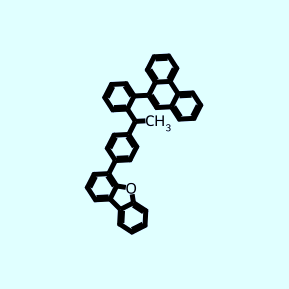 CC(c1ccc(-c2cccc3c2oc2ccccc23)cc1)c1ccccc1-c1cc2ccccc2c2ccccc12